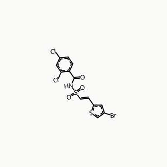 O=C(NS(=O)(=O)C=Cc1cc(Br)cs1)c1ccc(Cl)cc1Cl